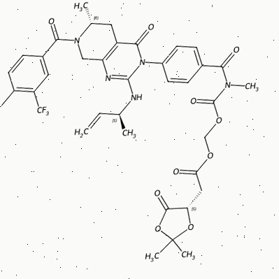 C=C[C@H](C)Nc1nc2c(c(=O)n1-c1ccc(C(=O)N(C)C(=O)OCOC(=O)C[C@@H]3OC(C)(C)OC3=O)cc1)C[C@@H](C)N(C(=O)c1ccc(Br)c(C(F)(F)F)c1)C2